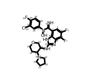 N=C(c1cc(F)c(F)c2nc(NC3COCCC3N3CCCC3)[nH]c12)N(O)c1ccc(F)c(Cl)c1